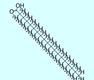 [2H]C([2H])([2H])C([2H])([2H])C([2H])([2H])C([2H])([2H])C([2H])([2H])C([2H])([2H])C([2H])([2H])C([2H])([2H])C([2H])([2H])C([2H])([2H])C([2H])([2H])C([2H])([2H])C([2H])([2H])C([2H])([2H])C([2H])([2H])C([2H])([2H])C([2H])([2H])C([2H])([2H])C(=O)O